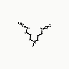 CN(CCCN=C=O)CCCN=C=O